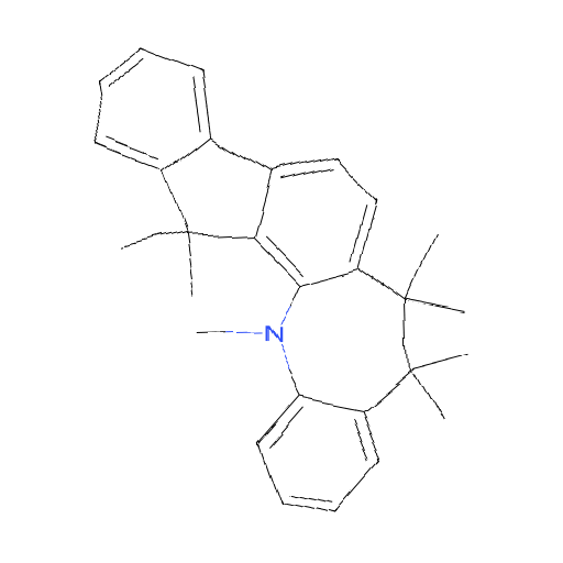 CN1c2ccccc2C(C)(C)C(C)(C)c2ccc3c(c21)C(C)(C)c1ccccc1-3